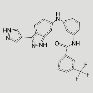 O=C(Nc1cccc(Nc2ccc3c(-c4cn[nH]c4)n[nH]c3c2)c1)c1cccc(C(F)(F)F)c1